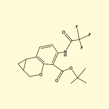 CC(C)(C)OC(=O)c1c(NC(=O)C(F)(F)F)ccc2c1OCC1CC21